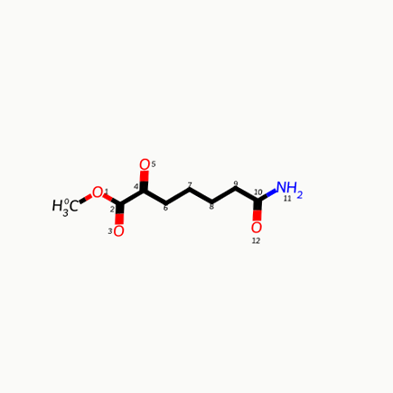 COC(=O)C(=O)CCCCC(N)=O